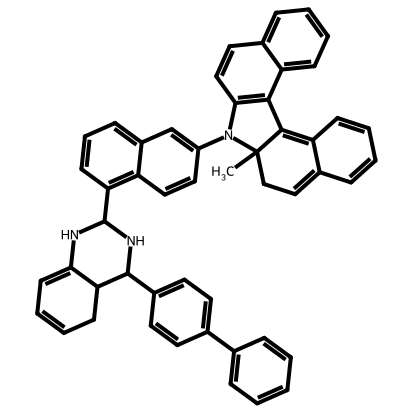 CC12CC=c3ccccc3=C1c1c(ccc3ccccc13)N2c1ccc2c(C3NC4=CC=CCC4C(c4ccc(-c5ccccc5)cc4)N3)cccc2c1